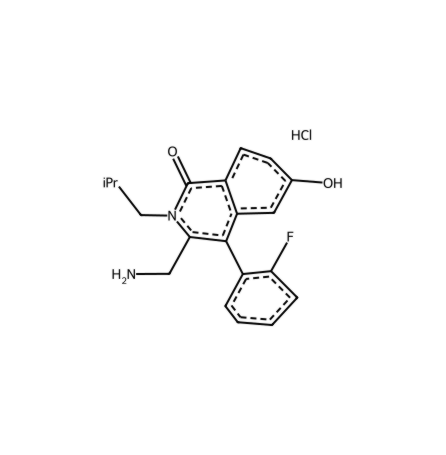 CC(C)Cn1c(CN)c(-c2ccccc2F)c2cc(O)ccc2c1=O.Cl